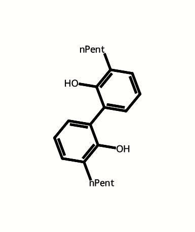 CCCCCc1cccc(-c2cccc(CCCCC)c2O)c1O